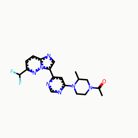 CC(=O)N1CCN(c2cc(-c3cnc4ccc(C(F)F)nn34)ncn2)C(C)C1